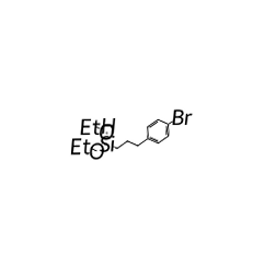 CCO[SiH](CCCc1ccc(Br)cc1)OCC